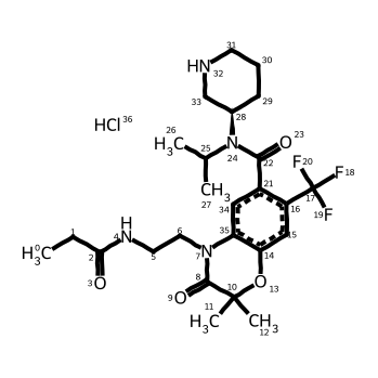 CCC(=O)NCCN1C(=O)C(C)(C)Oc2cc(C(F)(F)F)c(C(=O)N(C(C)C)[C@@H]3CCCNC3)cc21.Cl